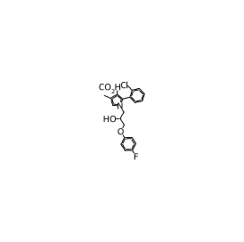 Cc1cn(C[C@H](O)COc2ccc(F)cc2)c(-c2ccccc2Cl)c1C(=O)O